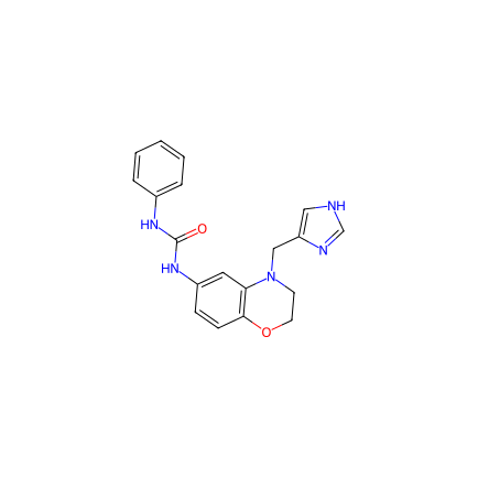 O=C(Nc1ccccc1)Nc1ccc2c(c1)N(Cc1c[nH]cn1)CCO2